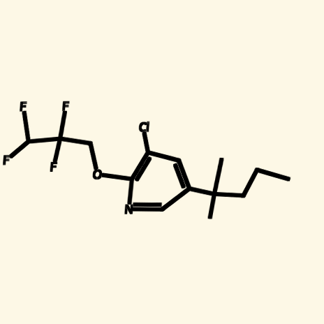 CCCC(C)(C)c1cnc(OCC(F)(F)C(F)F)c(Cl)c1